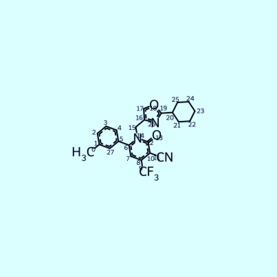 Cc1cccc(-c2cc(C(F)(F)F)c(C#N)c(=O)n2Cc2coc(C3CCCCC3)n2)c1